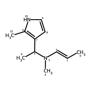 C/C=C/N(C)C(C)c1cc[nH]c1C